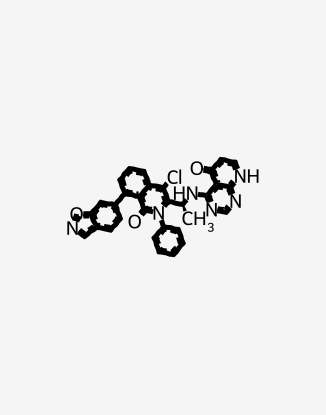 C[C@H](Nc1ncnc2[nH]ccc(=O)c12)c1c(Cl)c2cccc(-c3ccc4cnoc4c3)c2c(=O)n1-c1ccccc1